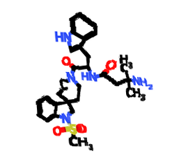 CC(C)(N)CC(=O)N[C@H](Cc1c[nH]c2ccccc12)C(=O)N1CCC2(CC1)CN(S(C)(=O)=O)c1ccccc12